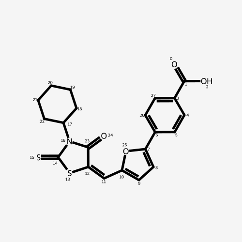 O=C(O)c1ccc(-c2ccc(C=C3SC(=S)N(C4CCCCC4)C3=O)o2)cc1